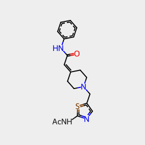 CC(=O)Nc1ncc(CN2CCC(=CC(=O)Nc3ccccc3)CC2)s1